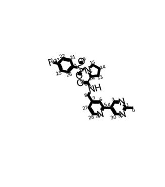 Cc1ncc(-c2cc(CNC(=O)[C@@H]3CCCN3S(=O)(=O)c3ccc(F)cc3)ccn2)cn1